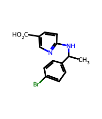 CC(Nc1ccc(C(=O)O)cn1)c1ccc(Br)cc1